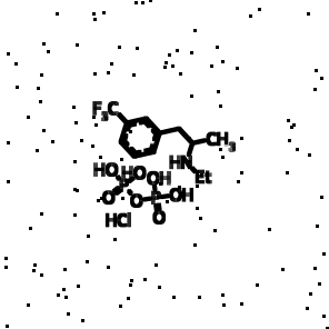 CCNC(C)Cc1cccc(C(F)(F)F)c1.Cl.O=P(O)(O)OP(=O)(O)O